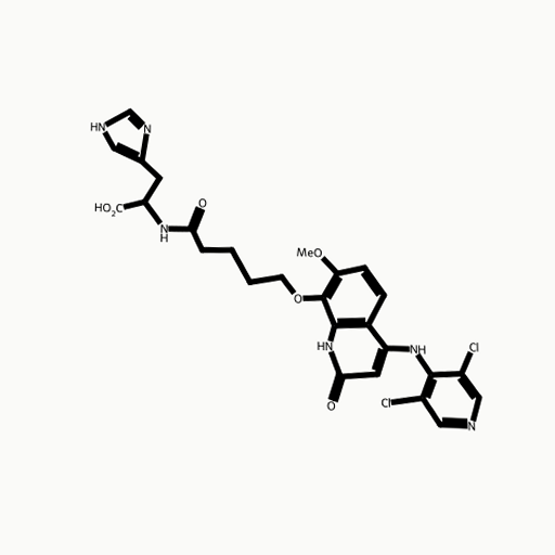 COc1ccc2c(Nc3c(Cl)cncc3Cl)cc(=O)[nH]c2c1OCCCCC(=O)NC(Cc1c[nH]cn1)C(=O)O